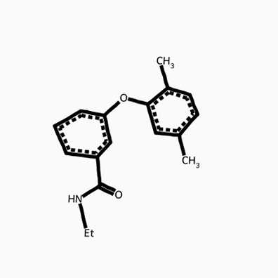 CCNC(=O)c1cccc(Oc2cc(C)ccc2C)c1